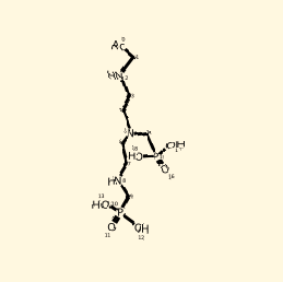 CC(=O)CNCCN(CCNCP(=O)(O)O)CP(=O)(O)O